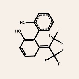 OC1=C(c2ccccc2O)C(=C(C(F)(F)F)C(F)(F)F)CC=C1